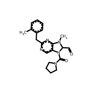 Cc1ccccc1Cc1ncc2c(n1)N(C)C(C=O)N2C(=O)N1CCCC1